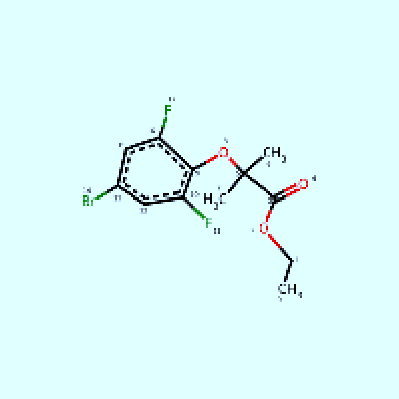 CCOC(=O)C(C)(C)Oc1c(F)cc(Br)cc1F